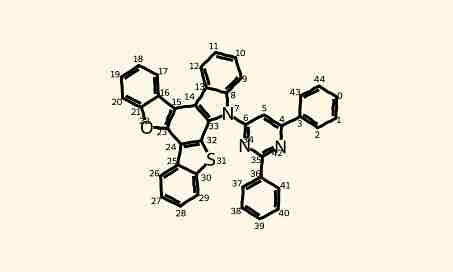 c1ccc(-c2cc(-n3c4ccccc4c4c5c6ccccc6oc5c5c6ccccc6sc5c43)nc(-c3ccccc3)n2)cc1